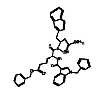 CCCCN(C(=O)[C@H](CCCC(=O)OCc1ccccc1)NC(=O)c1cn(Cc2ccccc2)c2ccccc12)[C@H](CC(N)=O)Cc1ccc2ccccc2c1